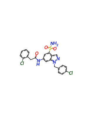 NS(=O)(=O)c1cc(NC(=O)Cc2ccccc2Cl)cc2c1cnn2Cc1ccc(Cl)cc1